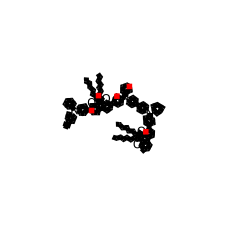 CCCCCCCC(=O)C1(C(=O)CCCCCCC)c2cc(C)ccc2-c2ccc(-c3ccc(N(c4ccccc4)c4ccc(-c5ccc(N(c6ccccc6)c6ccc(-c7ccc8c(c7)C(C(=O)CCCCCCC)(C(=O)CCCCCCC)c7cc(-c9ccc(N(c%10ccccc%10)c%10ccc(C(C)(C)C)cc%10)cc9)ccc7-8)cc6)cc5)cc4)cc3)cc21